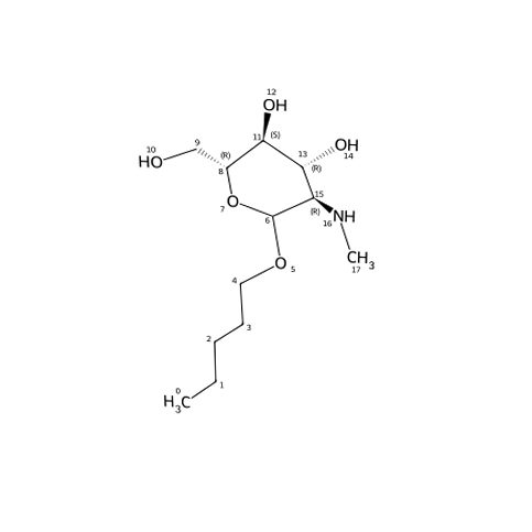 CCCCCOC1O[C@H](CO)[C@@H](O)[C@H](O)[C@H]1NC